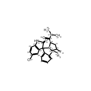 COc1ccccc1C1(N2CC(F)C[C@@H]2C(=O)N(C)C)C(=O)Nc2ccc(Cl)cc21